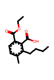 CCCCc1c(C)ccc(C(=O)OCC)c1C(=O)O